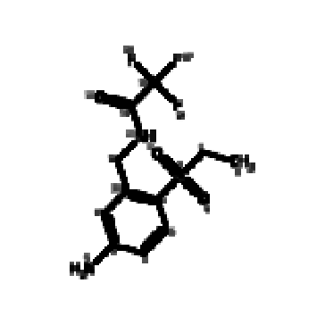 CCS(=O)(=O)c1ccc(N)cc1CNC(=O)C(F)(F)F